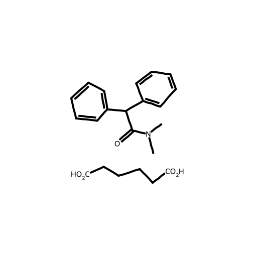 CN(C)C(=O)C(c1ccccc1)c1ccccc1.O=C(O)CCCCC(=O)O